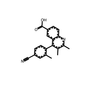 Cc1cc(C#N)ccc1-c1c(C)c(C)nc2ccc(C(=O)O)cc12